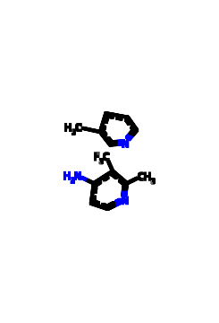 Cc1cccnc1.Cc1nccc(N)c1C(F)(F)F